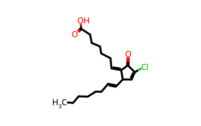 CCCCCCC=CC1C=C(Cl)C(=O)C1=CCCCCCC(=O)O